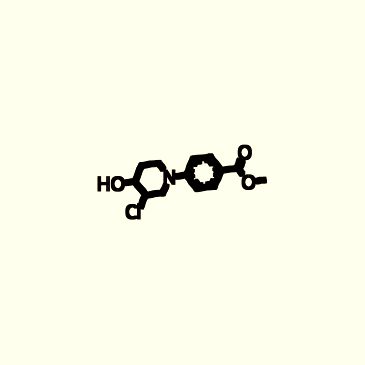 COC(=O)c1ccc(N2CCC(O)C(Cl)C2)cc1